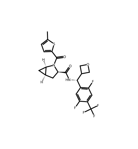 Cc1ccc(C(=O)N2[C@@H](C(=O)N[C@@H](c3cc(F)c(C(F)(F)F)cc3F)C3COC3)C[C@H]3C[C@H]32)s1